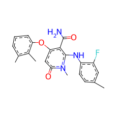 Cc1ccc(Nc2c(C(N)=O)c(Oc3cccc(C)c3C)cc(=O)n2C)c(F)c1